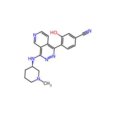 CN1CCC[C@@H](Nc2nnc(-c3ccc(C#N)cc3O)c3ccncc23)C1